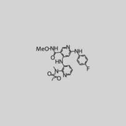 CONC(=O)c1cnc(Nc2ccc(F)cc2)cc1Nc1cccnc1N(C)S(C)(=O)=O